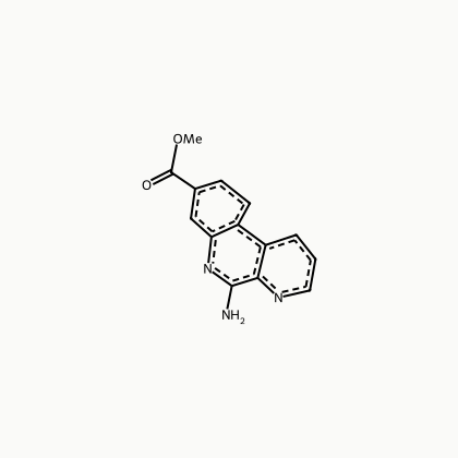 COC(=O)c1ccc2c(c1)nc(N)c1ncccc12